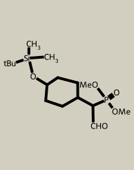 COP(=O)(OC)C(C=O)C1CCC(O[Si](C)(C)C(C)(C)C)CC1